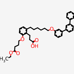 CCOC(=O)CCCOc1cccc(CCCCCCOc2cccc(-c3cccc(-c4ccccc4)c3)c2)c1CCC(=O)O